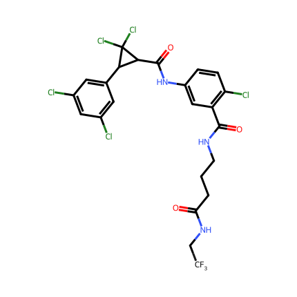 O=C(CCCNC(=O)c1cc(NC(=O)C2C(c3cc(Cl)cc(Cl)c3)C2(Cl)Cl)ccc1Cl)NCC(F)(F)F